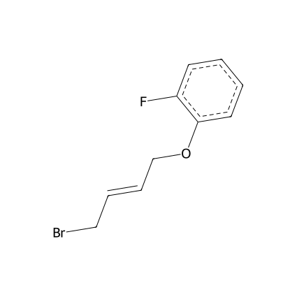 Fc1ccccc1OCC=CCBr